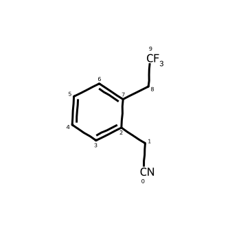 N#CCc1ccccc1CC(F)(F)F